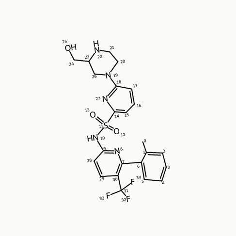 Cc1ccccc1-c1nc(NS(=O)(=O)c2cccc(N3CCNC(CO)C3)n2)ccc1C(F)(F)F